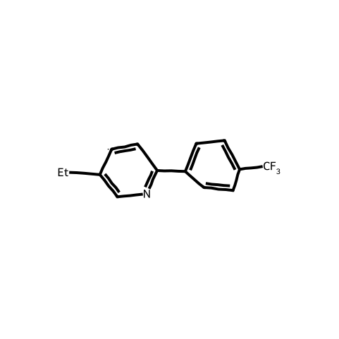 CCc1[c]cc(-c2ccc(C(F)(F)F)cc2)nc1